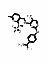 Cc1ccc(CNc2nc(Nc3ccc(C(N)O)cc3)ncc2C(F)(F)F)c(N(C)S(C)(=O)=O)n1